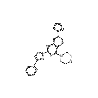 c1ccc(-c2ccn(-c3nc(N4CCOCC4)c4ncc(-c5ccco5)cc4n3)n2)cc1